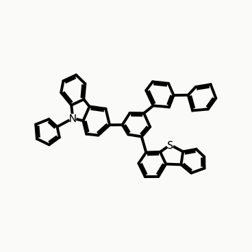 c1ccc(-c2cccc(-c3cc(-c4ccc5c(c4)c4ccccc4n5-c4ccccc4)cc(-c4cccc5c4sc4ccccc45)c3)c2)cc1